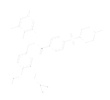 CN1CCN(S(=O)(=O)c2ccc(C(=O)O[C@@H](Cc3c(Cl)c[n+](O)cc3Cl)c3ccc(OC(F)F)c(OCC4CC4)c3)cc2)CC1